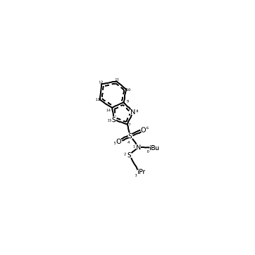 CCC(C)N(SC(C)C)S(=O)(=O)c1nc2ccccc2s1